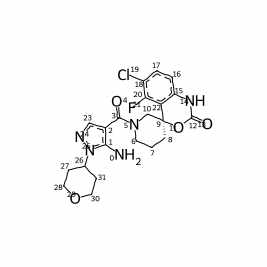 Nc1c(C(=O)N2CCC[C@@]3(C2)OC(=O)Nc2ccc(Cl)c(F)c23)cnn1C1CCOCC1